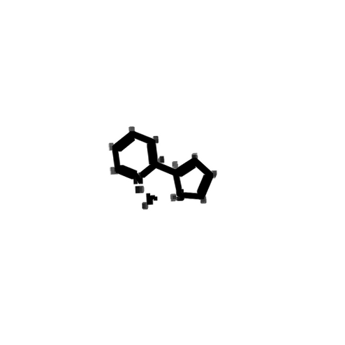 [Ir].c1ccc(-c2cccs2)nc1